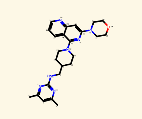 Cc1cc(C)nc(NCC2CCN(c3nc(N4CCOCC4)cc4ncccc34)CC2)n1